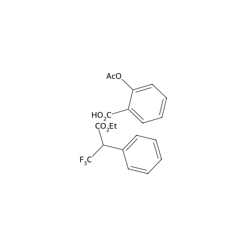 CC(=O)Oc1ccccc1C(=O)O.CCOC(=O)C(c1ccccc1)C(F)(F)F